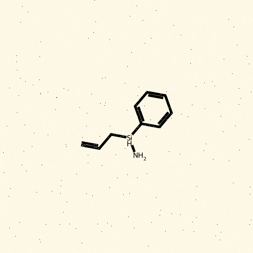 C=CC[SiH](N)c1ccccc1